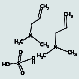 C=CCN(C)C.C=CCN(C)C.O=S(=O)(O)O